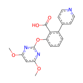 COc1cc(OC)nc(Oc2cccc(-c3ccncc3)c2C(=O)O)n1